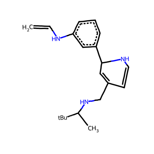 C=CNc1cccc(C2C=C(CNC(C)C(C)(C)C)C=CN2)c1